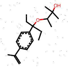 C=C(C)c1ccc(C(CC)(CC)OC(C)C(C)(C)O)cc1